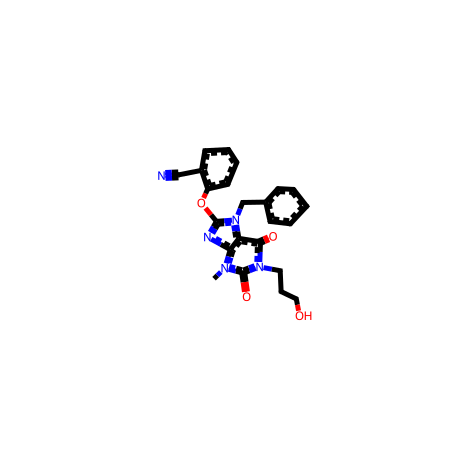 Cn1c(=O)n(CCCO)c(=O)c2c1nc(Oc1ccccc1C#N)n2Cc1ccccc1